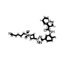 Cc1ccc(-c2nnn(C3CN(S(=O)(=O)CCCCC#N)C3)n2)cc1NC(=O)c1cnn2ccccc12